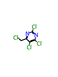 ClCc1nc(Cl)nc(Cl)c1Cl